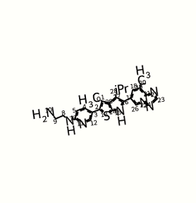 Cc1c(-c2ccc(NCCN)nc2)sc2[nH]c(-c3cc(C)c4ncnn4c3)c(C(C)C)c12